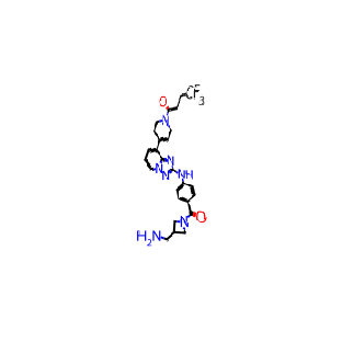 NCC1CN(C(=O)c2ccc(Nc3nc4c(C5=CCN(C(=O)CCC(F)(F)F)CC5)cccn4n3)cc2)C1